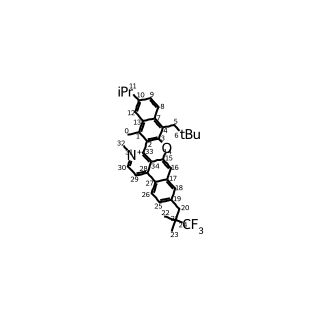 Cc1c2c(c(CC(C)(C)C)c3ccc(C(C)C)cc13)Oc1cc3cc(CC(C)(C)C(F)(F)F)ccc3c3cc[n+](C)c-2c13